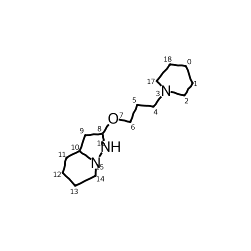 C1CCN(CCCOC2CC3CCCCN3N2)CC1